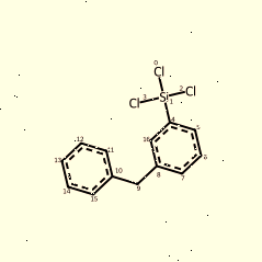 Cl[Si](Cl)(Cl)c1cccc(Cc2ccccc2)c1